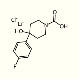 O=C(O)N1CCC(O)(c2ccc(F)cc2)CC1.[Cl-].[Li+]